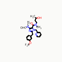 CC(O)CCN(C)C(=O)c1c(N(C)C=O)nc(Cc2cccc(OC(F)(F)F)c2)n1Cc1ccccn1